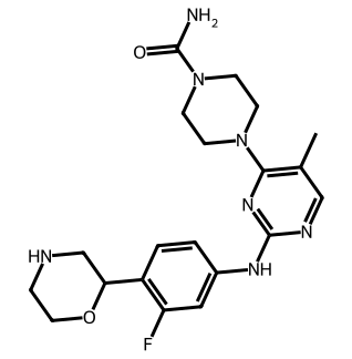 Cc1cnc(Nc2ccc(C3CNCCO3)c(F)c2)nc1N1CCN(C(N)=O)CC1